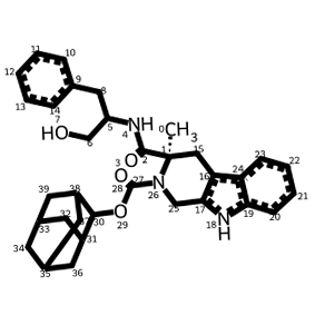 C[C@]1(C(=O)NC(CO)Cc2ccccc2)Cc2c([nH]c3ccccc23)CN1C(=O)OC1C2CC3CC(C2)CC1C3